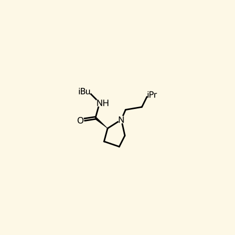 CCC(C)NC(=O)[C@@H]1CCCN1CCC(C)C